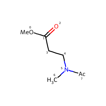 COC(=O)CCN(C)C(C)=O